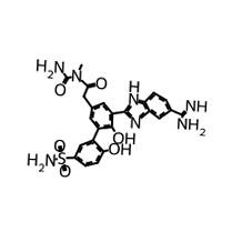 CN(C(N)=O)C(=O)Cc1cc(-c2nc3cc(C(=N)N)ccc3[nH]2)c(O)c(-c2cc(S(N)(=O)=O)ccc2O)c1